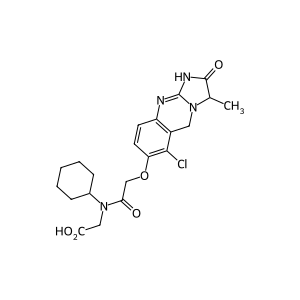 CC1C(=O)NC2=Nc3ccc(OCC(=O)N(CC(=O)O)C4CCCCC4)c(Cl)c3CN21